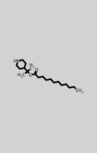 CCCCCCCCCCCC(=O)OC(C)(C)C1CCNCC1